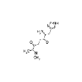 CN[C@@H](C)C(=O)CCC(=O)[C@@H](N)Cc1c[nH]cn1